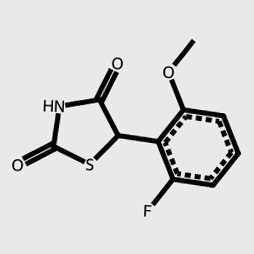 COc1cccc(F)c1C1SC(=O)NC1=O